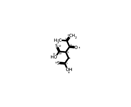 C=C(C)C(=O)C(CC(O)=S)C(O)=S